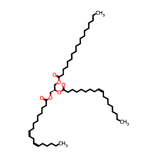 CCCCC/C=C\C/C=C\CCCCCCCC(=O)OC[C@@H](COC(=O)CCCCCCCCCCCCCCCCC)OC(=O)CCCCCCC/C=C\CCCCCCCC